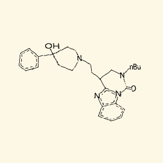 CCCCN1CC(CCN2CCC(O)(c3ccccc3)CC2)c2nc3ccccc3n2C1=O